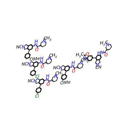 CN1CCC[C@@H](C(=O)Nc2cc3c(c(-c4ccc(Cl)cc4)c2)CN(C#N)C3)C1.CN1CCC[C@@H](C(=O)Nc2cc3c(c(-c4cccc(Cl)c4)c2)CN(C#N)C3)C1.COc1ccc(-c2cc(NC(=O)[C@@H]3CCCN(C)C3)cc3c2CN(C#N)C3)cc1.COc1cccc(-c2cc(NC(=O)[C@@H]3CCCN(C)C3)cc3c2CN(C#N)C3)c1.Cc1nc2ccc(-c3cc(NC(=O)[C@@H]4CCCN(C)C4)cc4c3CN(C#N)C4)cc2o1